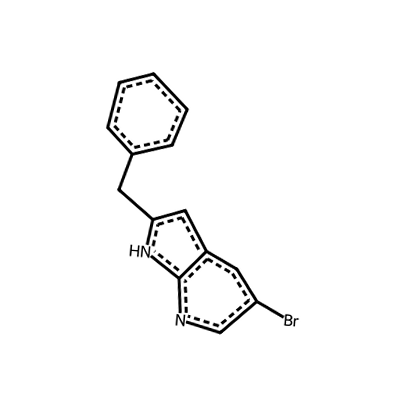 Brc1cnc2[nH]c(Cc3ccccc3)cc2c1